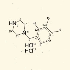 Cc1ccc(CN2CCNCC2)c(C)c1C.Cl.Cl